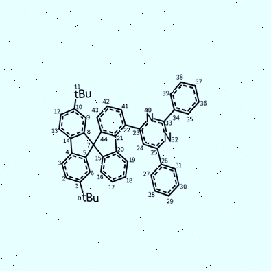 CC(C)(C)c1ccc2c(c1)C1(c3cc(C(C)(C)C)ccc3-2)c2ccccc2-c2c(-c3cc(-c4ccccc4)nc(-c4ccccc4)n3)cccc21